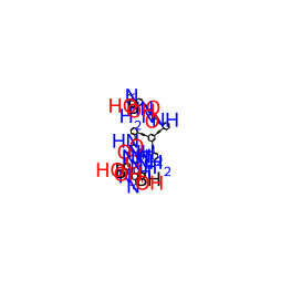 C=C(CC(N)C(=O)NCc1ccc(CN(C)C)c(BO)c1)NCc1ccccc1C#Cc1cc(C#Cc2ccccc2CNC(=O)CC(N)C(=O)NCc2ccc(CN(C)C)c(B(O)O)c2)cc(C#Cc2ccccc2CNC(=O)CC(N)C(=O)NCc2ccc(CN(C)C)c(B(O)O)c2)c1